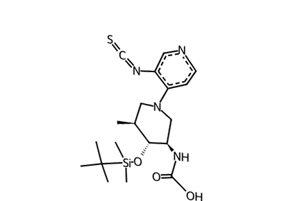 C[C@H]1CN(c2ccncc2N=C=S)C[C@@H](NC(=O)O)[C@@H]1O[Si](C)(C)C(C)(C)C